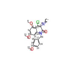 [C-]#[N+]c1c(Cl)c2c(OC)cc(OC)cc2n(Cc2ccc(OC)cc2)c1=O